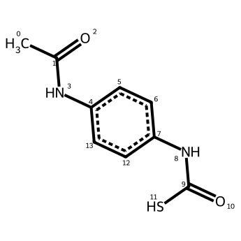 CC(=O)Nc1ccc(NC(=O)S)cc1